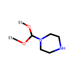 CCOC(OCC)N1CCNCC1